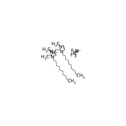 CCCCCCCCCCn1cc[n+](C)c1C.CCCCCCCCCCn1cc[n+](C)c1C.F[B-](F)(F)F.[Br-]